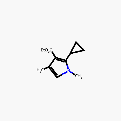 CCOC(=O)c1c(C)cn(C)c1C1CC1